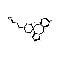 C=CCCN1CCC2(CC1)Oc1ccccc1Cn1cccc12